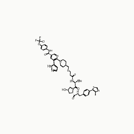 Cc1ncsc1-c1ccc(CNC(=O)[C@@H]2C[C@@H](O)CN2C(=O)[C@@H](NC(=O)CCOCC2CCN(c3ncc(C(=O)Nc4ccc(OC(F)(F)Cl)cc4)cc3-c3ccn[nH]3)CC2)C(C)(C)C)cc1